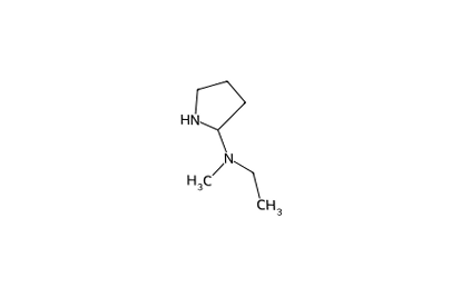 CCN(C)C1CCCN1